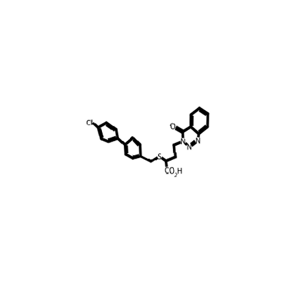 O=C(O)C(CCn1nnc2ccccc2c1=O)SCc1ccc(-c2ccc(Cl)cc2)cc1